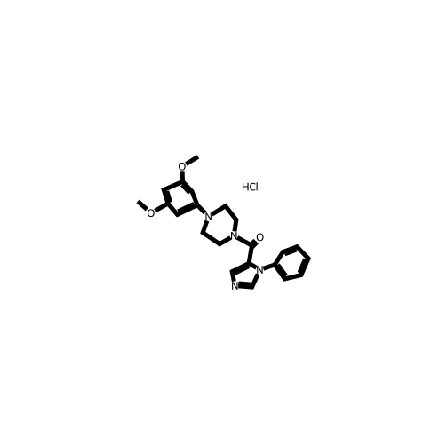 COc1cc(OC)cc(N2CCN(C(=O)c3cncn3-c3ccccc3)CC2)c1.Cl